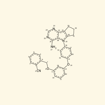 N#Cc1ccccc1COc1cccc(Oc2ccc(-n3c4c(c5ncnc(N)c53)CCC4)cc2)c1